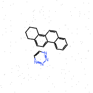 c1ccc2c(c1)ccc1c3c(ccc12)CCCC3.c1cnnnn1